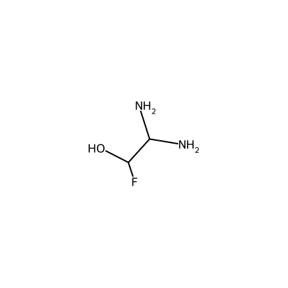 NC(N)C(O)F